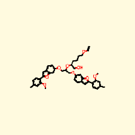 C=COCCCCC(CO)OC(COc1ccc2cc(-c3ccc(C)cc3OC)oc2c1)COc1ccc2cc(-c3ccc(C)cc3OC)oc2c1